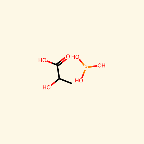 CC(O)C(=O)O.OP(O)O